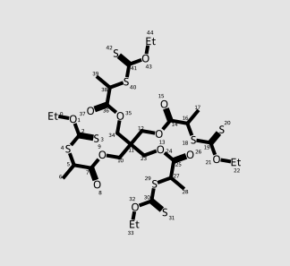 CCOC(=S)SC(C)C(=O)OCC(COC(=O)C(C)SC(=S)OCC)(COC(=O)C(C)SC(=S)OCC)COC(=O)C(C)SC(=S)OCC